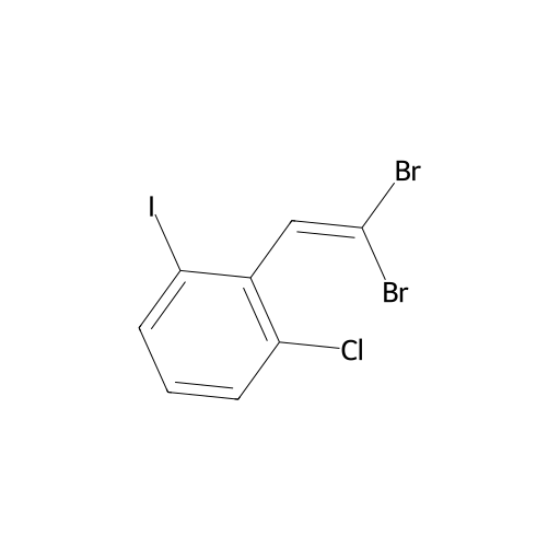 Clc1cccc(I)c1C=C(Br)Br